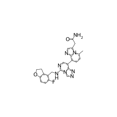 Cc1ccc(-c2cnc(NCc3c(F)ccc4c3CCO4)n3cnnc23)c2ncc(CC(N)=O)n12